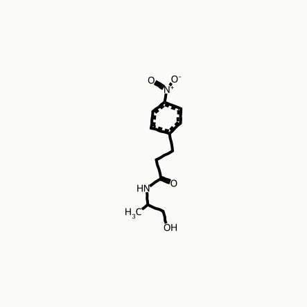 CC(CO)NC(=O)CCc1ccc([N+](=O)[O-])cc1